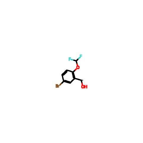 O[CH]c1cc(Br)ccc1OC(F)F